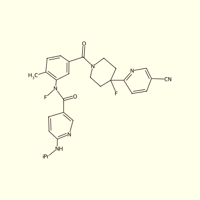 Cc1ccc(C(=O)N2CCC(F)(c3ccc(C#N)cn3)CC2)cc1N(F)C(=O)c1ccc(NC(C)C)nc1